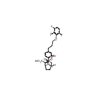 CC(C)(C)OC(=O)N1C2CC[C@H]1CC(c1ccc(CCCOc3c(F)ccc(F)c3F)cc1)=C2C(=O)O